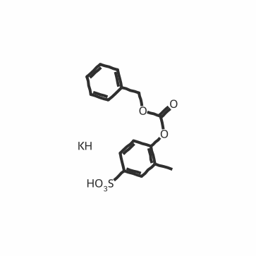 Cc1cc(S(=O)(=O)O)ccc1OC(=O)OCc1ccccc1.[KH]